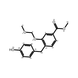 COCOc1cc(C(=O)OC)ccc1Cc1ccc(O)cc1